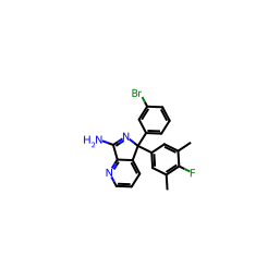 Cc1cc(C2(c3cccc(Br)c3)N=C(N)c3ncccc32)cc(C)c1F